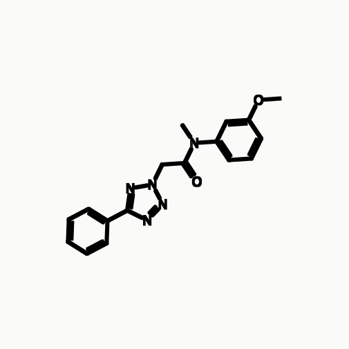 COc1cccc(N(C)C(=O)Cn2nnc(-c3ccccc3)n2)c1